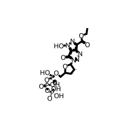 CCOC(=O)c1nn(O)c2c(=O)n(C3[CH][CH]C(COP(=O)(O)OP(=O)(O)OP(=O)(O)O)O3)nnc12